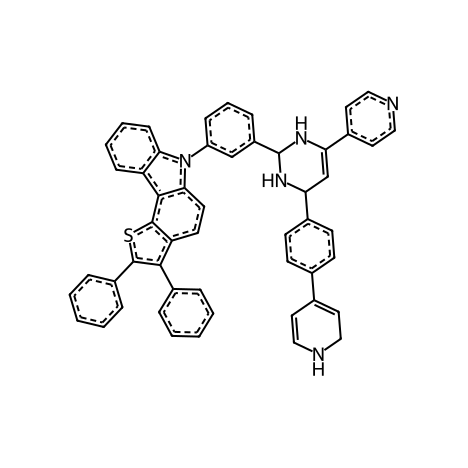 C1=CC(c2ccc(C3C=C(c4ccncc4)NC(c4cccc(-n5c6ccccc6c6c7sc(-c8ccccc8)c(-c8ccccc8)c7ccc65)c4)N3)cc2)=CCN1